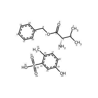 CC(C)[C@H](N)C(=O)OCc1ccccc1.Cc1ccc(O)cc1S(=O)(=O)O